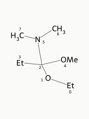 CCOC(CC)(OC)N(C)C